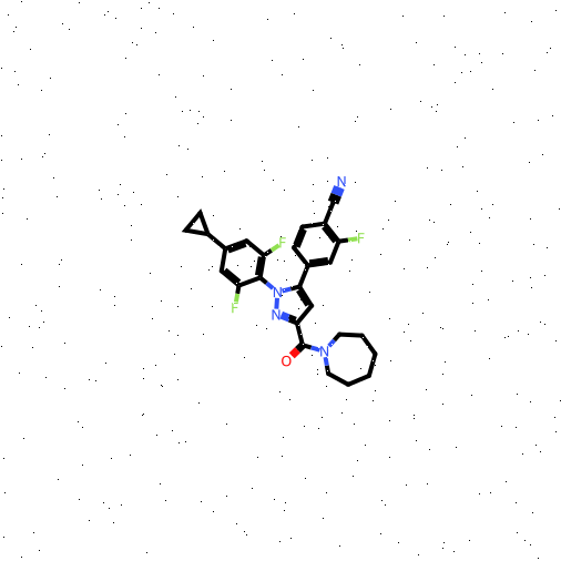 N#Cc1ccc(-c2cc(C(=O)N3CCCCCC3)nn2-c2c(F)cc(C3CC3)cc2F)cc1F